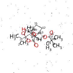 CC(C)C1(O)OC(=O)[C@@H]2[C@H]1[C@H]1CC[C@]2(OC(=O)C(C)(C)C)O1